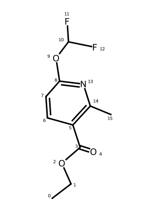 CCOC(=O)c1ccc(OC(F)F)nc1C